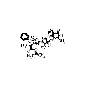 CC(C)OC(=O)[C@@H](C)NP(=O)(OC[C@H]1O[C@@H](n2cnc3c(=O)[nH]c(N)nc32)C(Cl)(Cl)[C@@H]1O)Oc1ccccc1